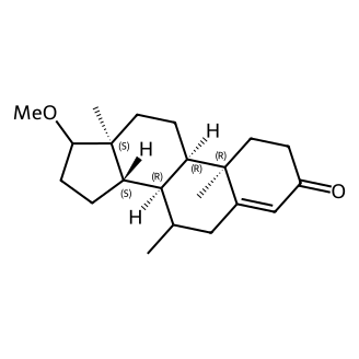 COC1CC[C@H]2[C@@H]3C(C)CC4=CC(=O)CC[C@]4(C)[C@@H]3CC[C@]12C